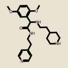 COc1ccc(OC)c(C(NCCC2CCNCC2)C(=O)NCCc2ccncc2)c1